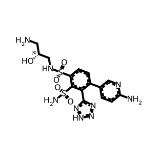 NC[C@@H](O)CNS(=O)(=O)c1ccc(-c2ccc(N)nc2)c(-c2nn[nH]n2)c1S(N)(=O)=O